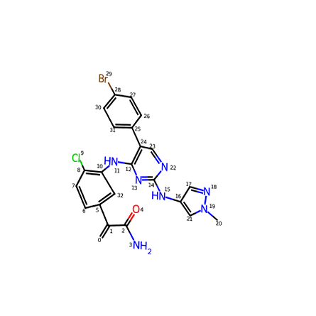 C=C(C(N)=O)c1ccc(Cl)c(Nc2nc(Nc3cnn(C)c3)ncc2-c2ccc(Br)cc2)c1